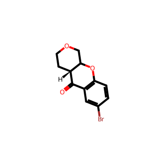 O=C1c2cc(Br)ccc2OC2COCC[C@@H]12